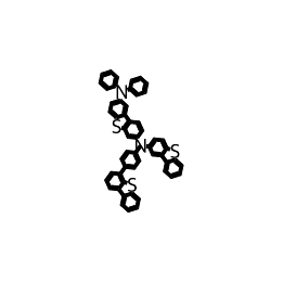 c1ccc(N(c2ccccc2)c2ccc3sc4cc(N(c5ccc(-c6cccc7c6sc6ccccc67)cc5)c5ccc6sc7ccccc7c6c5)ccc4c3c2)cc1